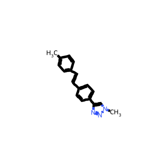 Cc1ccc(/C=C/c2ccc(-c3cn(C)nn3)cc2)cc1